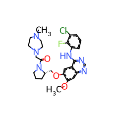 COc1cc2ncnc(Nc3cccc(Cl)c3F)c2cc1OC[C@@H]1CCCN1C(=O)CN1CCN(C)CC1